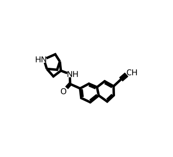 C#Cc1ccc2ccc(C(=O)NC3CC4CC3CN4)cc2c1